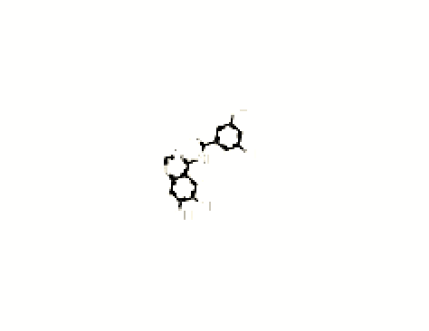 Cc1cc(C)cc(C(=O)Nc2ncnc3cc(C)c(C)cc23)c1